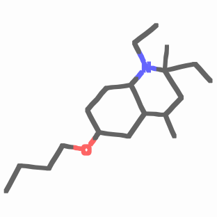 CCCCOC1CCC2C(C1)C(C)CC(C)(CC)N2CC